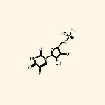 O=c1[nH]c(=O)n([C@H]2O[C@@H](COP(=O)(O)O)C(O)C2O)cc1F